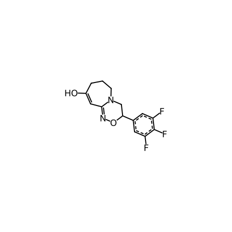 OC1=CC2=NOC(c3cc(F)c(F)c(F)c3)CN2CCC1